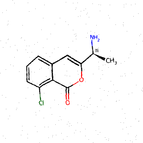 C[C@H](N)c1cc2cccc(Cl)c2c(=O)o1